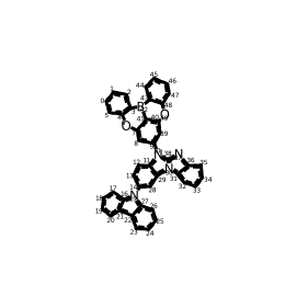 c1ccc2c(c1)Oc1cc(-n3c4ccc(-n5c6ccccc6c6ccccc65)cc4n4c5ccccc5nc34)cc3c1B2c1ccccc1O3